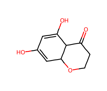 O=C1CCOC2C=C(O)C=C(O)C12